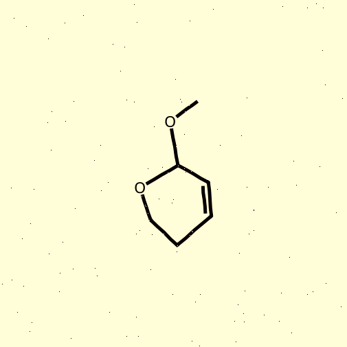 COC1C=CCCO1